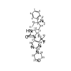 CN(C)[C@]1(c2ccccc2)CC[C@]2(CC1)CN(c1cnc(N3CCOCC3)nc1C(C)(F)F)C(=O)N2